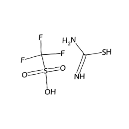 N=C(N)S.O=S(=O)(O)C(F)(F)F